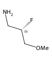 COC[C@@H](F)CN